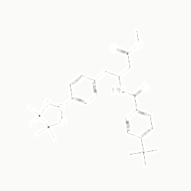 COC(=O)CC(Cc1ccc(B2OC(C)(C)C(C)(C)O2)cc1)NC(=O)c1ccc(C(C)(C)C)cc1